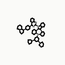 c1ccc(-c2cc(-c3ccccc3)cc(N3c4ccccc4-c4c(n(-c5nc(-c6ccc(-c7cccc8ccccc78)cc6)c6ccccc6n5)c5ccccc45)-c4ccccc43)c2)cc1